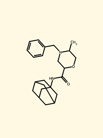 CC1COC(C(=O)NC23CC4CC(CC(C4)C2)C3)CN1Cc1ccccc1